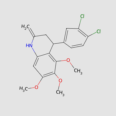 C=C1CC(c2ccc(Cl)c(Cl)c2)c2c(cc(OC)c(OC)c2OC)N1